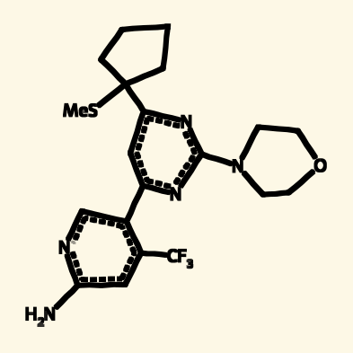 CSC1(c2cc(-c3cnc(N)cc3C(F)(F)F)nc(N3CCOCC3)n2)CCCC1